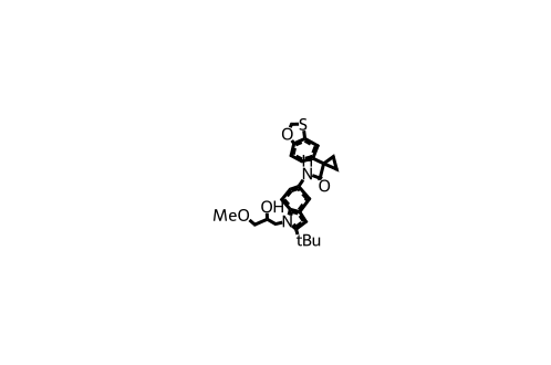 COCC(O)Cn1c(C(C)(C)C)cc2cc(NC(=O)C3(c4ccc5c(c4)SCO5)CC3)ccc21